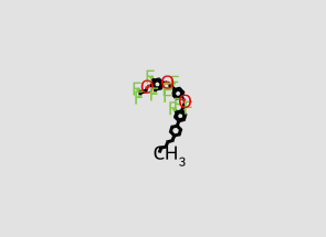 CCCCCC1CCC(c2ccc(C(F)(F)Oc3ccc(C(F)(F)Oc4cc(F)c(OC=C(F)F)c(F)c4)c(F)c3)c(F)c2)CC1